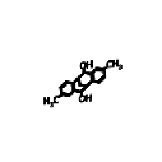 Cc1ccc2c(c1)C(O)C1CC2C(O)c2cc(C)ccc21